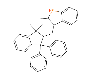 CC1Pc2ccccc2C1CC1C(C)(C)c2ccccc2C1(c1ccccc1)c1ccccc1